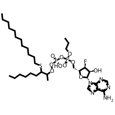 CCCCCCCCCCCCSC(CCCCCC)C(C)OOP(=O)(O)OP(=O)(OCCC)OC[C@H]1O[C@@H](n2cnc3c(N)ncnc32)[C@H](O)[C@@H]1F